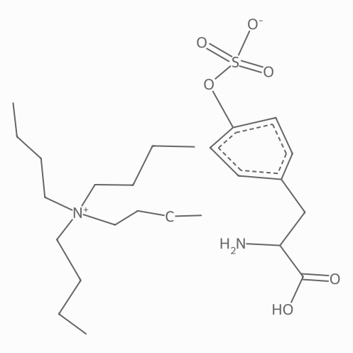 CCCC[N+](CCCC)(CCCC)CCCC.NC(Cc1ccc(OS(=O)(=O)[O-])cc1)C(=O)O